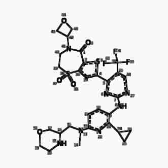 O=C1c2sc(-c3nc(Nc4ccc(N(I)CC5COCCN5)nc4C4CC4)ncc3C(F)(F)F)cc2S(=O)(=O)CCN1C1COC1